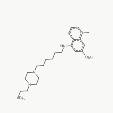 CCCCCCCCCCCCN1CCN(CCCCCCNc2cc(OC)cc3c(C)ccnc23)CC1